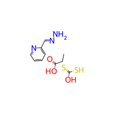 CCC(=O)O.NN=Cc1ccccn1.OC(=S)S